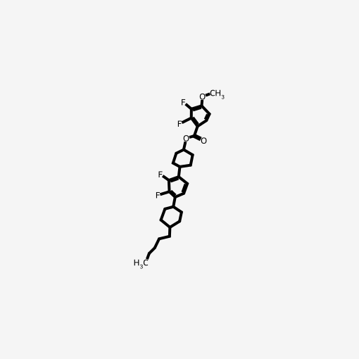 CCCCCC1CCC(c2ccc(C3CCC(OC(=O)c4ccc(OC)c(F)c4F)CC3)c(F)c2F)CC1